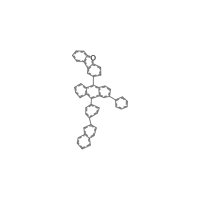 c1ccc(-c2ccc3c(-c4ccc5oc6ccccc6c5c4)c4ccccc4c(-c4ccc(-c5ccc6ccccc6c5)cc4)c3c2)cc1